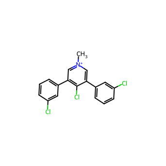 C[n+]1cc(-c2cccc(Cl)c2)c(Cl)c(-c2cccc(Cl)c2)c1